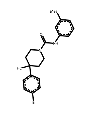 CSc1cccc(NC(=O)N2CCC(O)(c3ccc(Br)cc3)CC2)c1